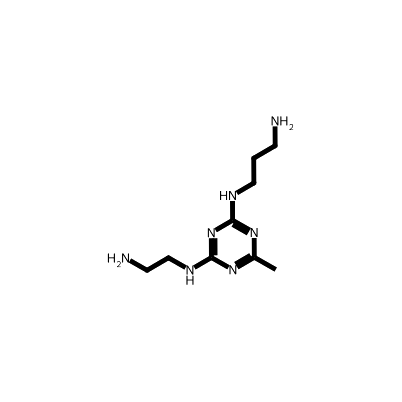 Cc1nc(NCCN)nc(NCCCN)n1